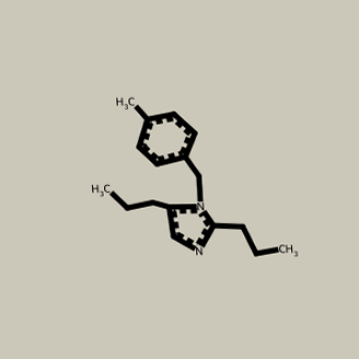 CCCc1cnc(CCC)n1Cc1ccc(C)cc1